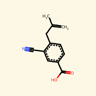 C=C(C)Cc1ccc(C(=O)O)cc1C#N